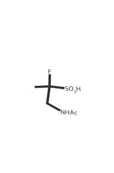 CC(=O)NCC(C)(F)S(=O)(=O)O